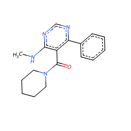 CNc1n[c]nc(-c2ccccc2)c1C(=O)N1CCCCC1